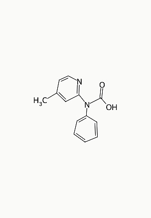 Cc1ccnc(N(C(=O)O)c2ccccc2)c1